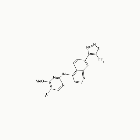 COc1nc(Nc2ccnc3cc(-c4nnsc4C(F)(F)F)ccc23)ncc1C(F)(F)F